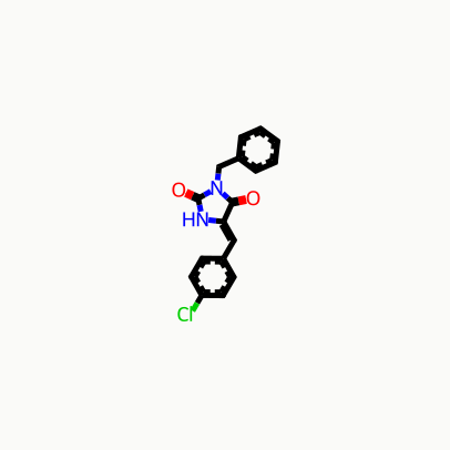 O=C1N/C(=C\c2ccc(Cl)cc2)C(=O)N1Cc1ccccc1